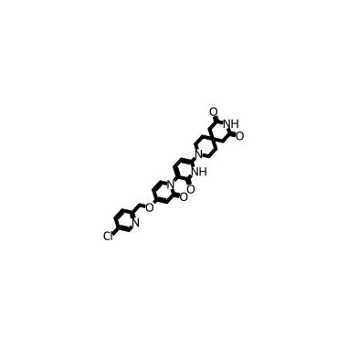 O=C1CC2(CCN(c3ccc(-n4ccc(OCc5ccc(Cl)cn5)cc4=O)c(=O)[nH]3)CC2)CC(=O)N1